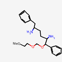 COCCOCOC(c1ccccc1)C(N)CCC(N)Cc1ccccc1